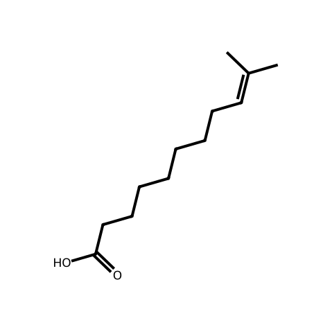 CC(C)=CCCCCCCCC(=O)O